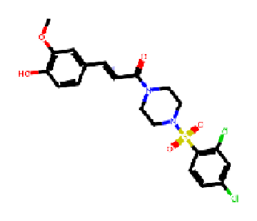 COc1cc(/C=C/C(=O)N2CCN(S(=O)(=O)c3ccc(Cl)cc3Cl)CC2)ccc1O